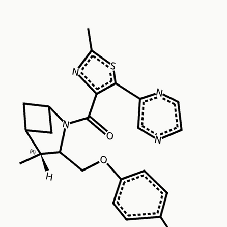 Cc1nc(C(=O)N2C3CC(C3)[C@@H](C)C2COc2ccc(F)cc2)c(-c2cnccn2)s1